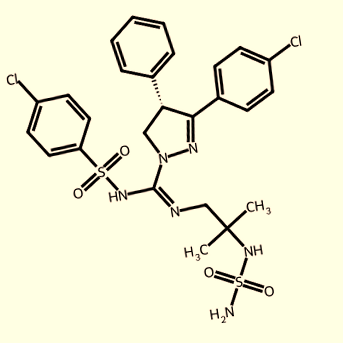 CC(C)(C/N=C(/NS(=O)(=O)c1ccc(Cl)cc1)N1C[C@H](c2ccccc2)C(c2ccc(Cl)cc2)=N1)NS(N)(=O)=O